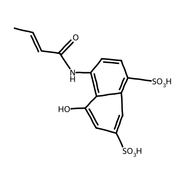 CC=CC(=O)Nc1ccc(S(=O)(=O)O)c2cc(S(=O)(=O)O)cc(O)c12